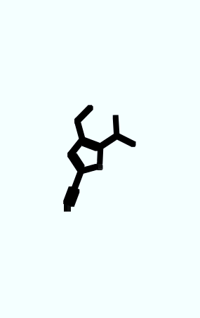 CCc1cc(C#N)sc1C(C)C